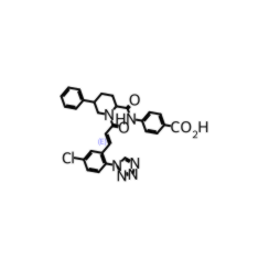 O=C(O)c1ccc(NC(=O)C2CCC(c3ccccc3)CN2C(=O)/C=C/c2cc(Cl)ccc2-n2cnnn2)cc1